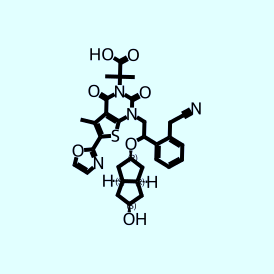 Cc1c(-c2ncco2)sc2c1c(=O)n(C(C)(C)C(=O)O)c(=O)n2CC(O[C@H]1C[C@H]2C[C@@H](O)C[C@H]2C1)c1ccccc1CC#N